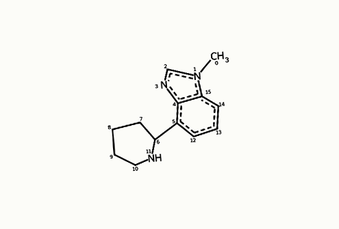 Cn1cnc2c(C3CCCCN3)cccc21